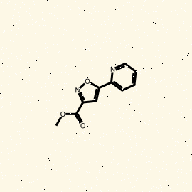 COC(=O)c1cc(-c2ccccn2)on1